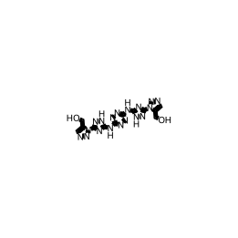 OCc1cnnn1-c1n[nH]c(Nc2nnc(Nc3nc(-n4nncc4CO)n[nH]3)nn2)n1